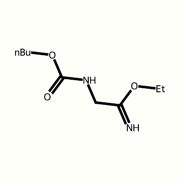 CCCCOC(=O)NCC(=N)OCC